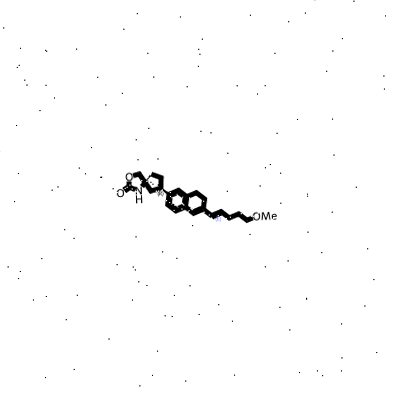 COCCC/C=C/C1=Cc2ccc([C@@H]3CC[C@]4(COC(=O)N4)C3)cc2CC1